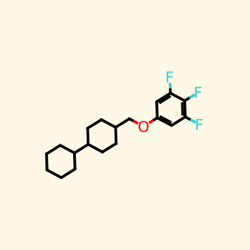 Fc1cc(OCC2CCC(C3CCCCC3)CC2)cc(F)c1F